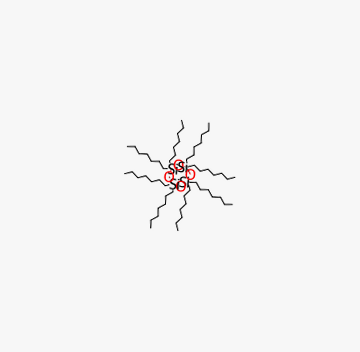 CCCCCCC[Si]1(CCCCCCC)O[Si](CCCCCCC)(CCCCCCC)O[Si](CCCCCCC)(CCCCCCC)O[Si](CCCCCCC)(CCCCCCC)O1